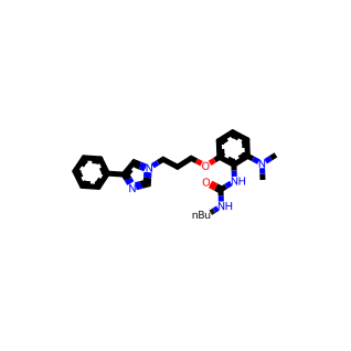 CCCCNC(=O)Nc1c(OCCCn2cnc(-c3ccccc3)c2)cccc1N(C)C